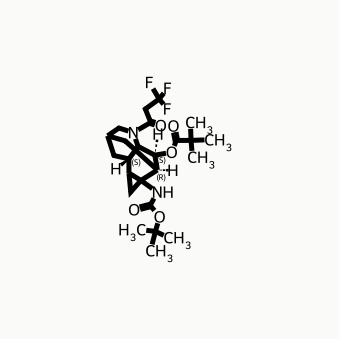 CC(C)(C)OC(=O)NC12CC1[C@@H]1CC3C[C@H]2[C@H](OC(=O)C(C)(C)C)C1N(C(=O)CC(F)(F)F)C3